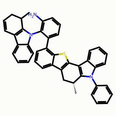 CC1CC=Cc2c1n(-c1c(N)cccc1-c1cccc3c4c(sc13)-c1c(n(-c3ccccc3)c3ccccc13)[C@H](C)C4)c1ccccc21